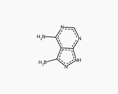 Bc1n[nH]c2ncnc(N)c12